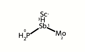 [PH2][SbH][Mo].[Sc]